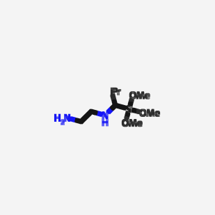 CO[Si](OC)(OC)C(NCCN)C(C)C